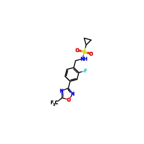 O=S(=O)(NCc1ccc(-c2noc(C(F)(F)F)n2)cc1F)C1CC1